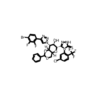 O[C@@H]1[C@@H](n2cc(-c3ccc(Br)c(F)c3F)nn2)[C@H]2OC(c3ccccc3)OC[C@H]2O[C@H]1c1n[nH]c(=S)n1-c1cc(Cl)ccc1C(F)(F)F